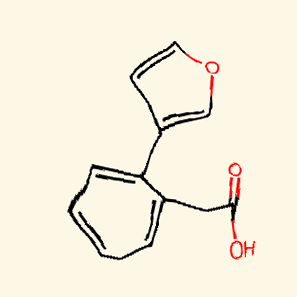 O=C(O)c1ccccc1-c1ccoc1